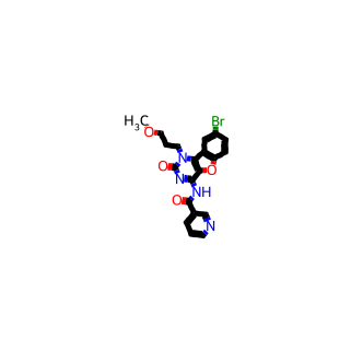 COCCCn1c(=O)nc(NC(=O)c2cccnc2)c2oc3ccc(Br)cc3c21